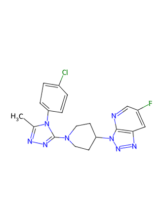 Cc1nnc(N2CCC(n3nnc4cc(F)cnc43)CC2)n1-c1ccc(Cl)cc1